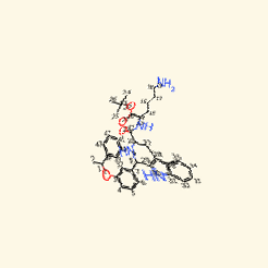 CC(Oc1cccc(C2NC(C(=O)NC(CCCCN)C(=O)OC(C)(C)C)Cc3c2[nH]c2ccccc32)c1)c1ccccc1